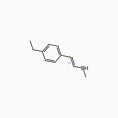 CB/C=C/c1ccc(CC)cc1